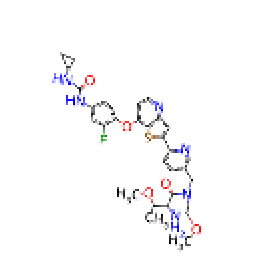 COCCN(Cc1ccc(-c2cc3nccc(Oc4ccc(NC(=O)NC5CC5)cc4F)c3s2)nc1)C(=O)C(N)C(C)OC